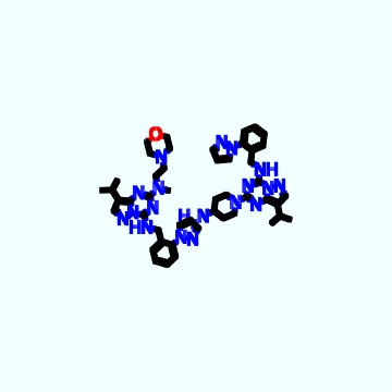 CC(C)c1cnn2c(NCc3ccccc3-n3cccn3)nc(N(C)CCN3CCOCC3)nc12.CC(C)c1cnn2c(NCc3ccccc3-n3cccn3)nc(N3CCC(N)CC3)nc12